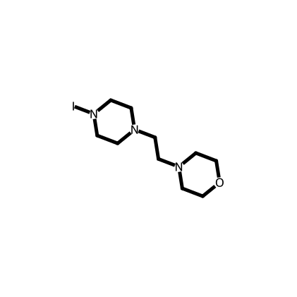 IN1CCN(CCN2CCOCC2)CC1